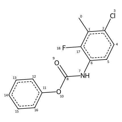 Cc1c(Cl)ccc(NC(=O)Oc2ccccc2)c1F